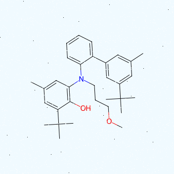 COCCCN(c1ccccc1-c1cc(C)cc(C(C)(C)C)c1)c1cc(C)cc(C(C)(C)C)c1O